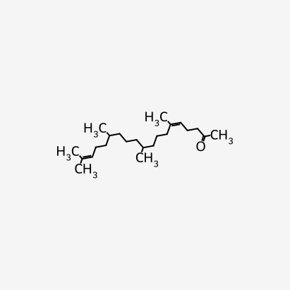 CC(=O)CCC=C(C)CCCC(C)CCCC(C)CCC=C(C)C